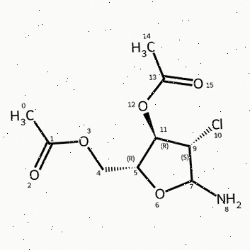 CC(=O)OC[C@H]1OC(N)[C@@H](Cl)[C@@H]1OC(C)=O